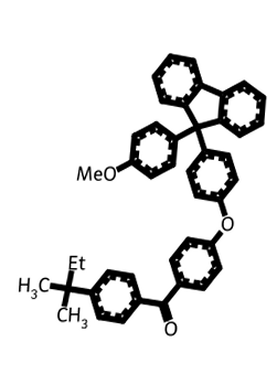 CCC(C)(C)c1ccc(C(=O)c2ccc(Oc3ccc(C4(c5ccc(OC)cc5)c5ccccc5-c5ccccc54)cc3)cc2)cc1